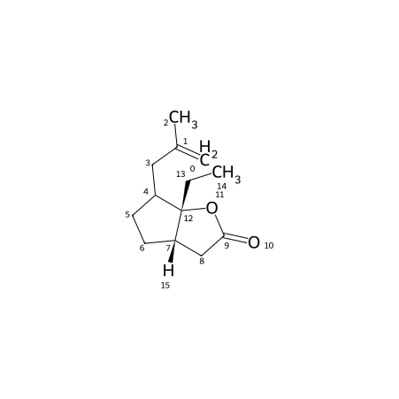 C=C(C)CC1CC[C@H]2CC(=O)O[C@@]12CC